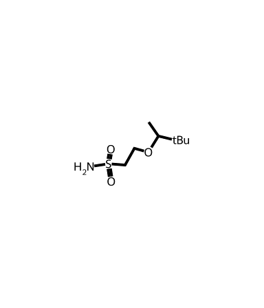 CC(OCCS(N)(=O)=O)C(C)(C)C